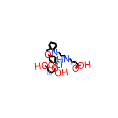 O=C(O)/C=C/CNCCCN1c2ccccc2COc2ccc(Cl)cc21.O=C(O)/C=C\C(=O)O